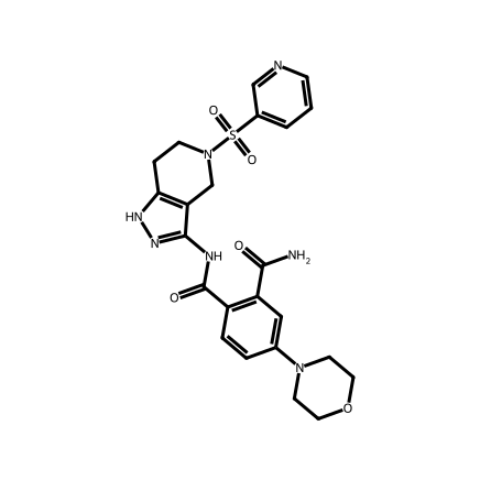 NC(=O)c1cc(N2CCOCC2)ccc1C(=O)Nc1n[nH]c2c1CN(S(=O)(=O)c1cccnc1)CC2